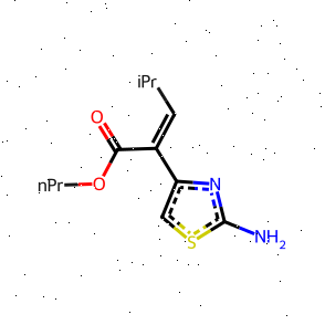 CCCOC(=O)C(=CC(C)C)c1csc(N)n1